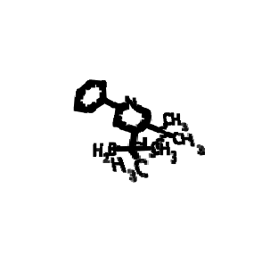 BC(C)(C)c1cc(-c2ccccc2)ncc1S(C)(C)C